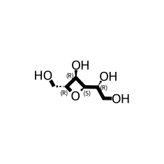 OC[C@@H](O)[C@@H]1O[C@H](CO)[C@H]1O